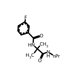 CCCNC(=O)C(C)(C)NC(=O)c1cccc(F)c1